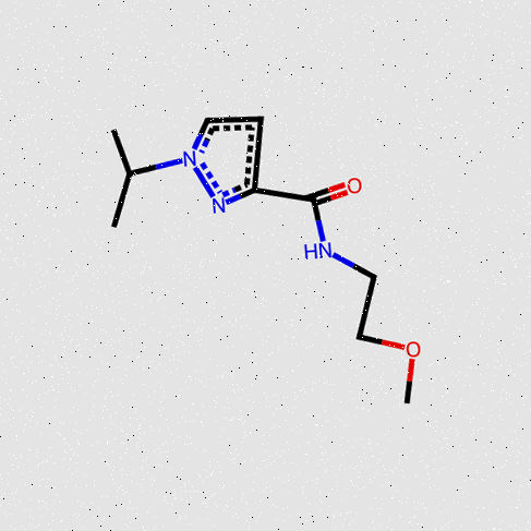 COCCNC(=O)c1ccn(C(C)C)n1